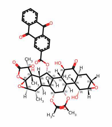 CC(=O)O[C@H]1[C@H]2[C@H]([C@@H]3[C@@H](OC(=O)c4ccc5c(c4)C(=O)c4ccccc4C5=O)[C@@H]4[C@H]([C@H](C)[C@H]5O[C@]56OC(=O)[C@@](C)(O)[C@]46C)[C@@]3(C)[C@H]1OC(C)=O)[C@@H](O)C(=O)[C@H]1C[C@@H]3O[C@@H]3[C@H](O)[C@]21C